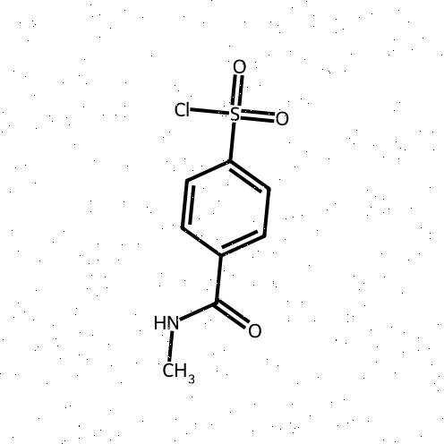 CNC(=O)c1ccc(S(=O)(=O)Cl)cc1